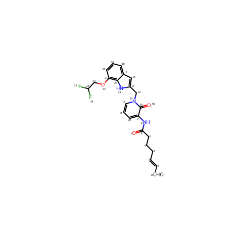 O=C/C=C/CCCC(=O)Nc1cccn(Cc2cc3cccc(OCC(F)F)c3[nH]2)c1=O